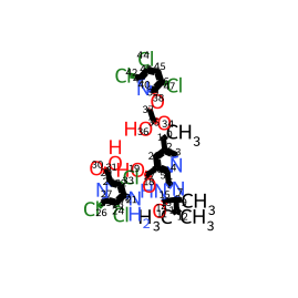 CCc1cnc(C2=NC(C)(C(C)C)C(=O)N2)c(C(=O)O)c1.Nc1c(Cl)c(Cl)nc(C(=O)O)c1Cl.O=C(O)COc1nc(Cl)c(Cl)cc1Cl